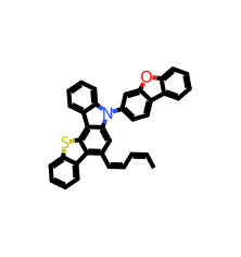 C/C=C\C=C/c1cc2c(c3ccccc3n2-c2ccc3c(c2)oc2ccccc23)c2sc3ccccc3c12